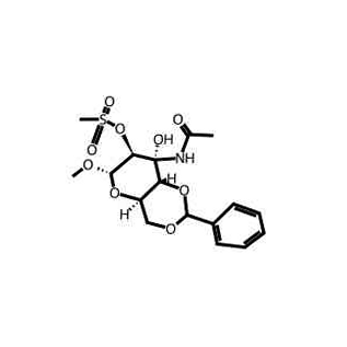 CO[C@H]1O[C@@H]2COC(c3ccccc3)O[C@H]2[C@](O)(NC(C)=O)[C@@H]1OS(C)(=O)=O